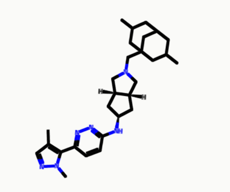 Cc1cnn(C)c1-c1ccc(N[C@H]2C[C@@H]3CN(CC45CC(C)CC(CC(C)C4)C5)C[C@@H]3C2)nn1